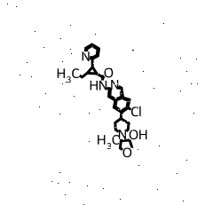 CCC1C(C(=O)Nc2cc3cc(C4CCN(C5(C)COCC5O)CC4)c(Cl)cc3cn2)C1c1ccccn1